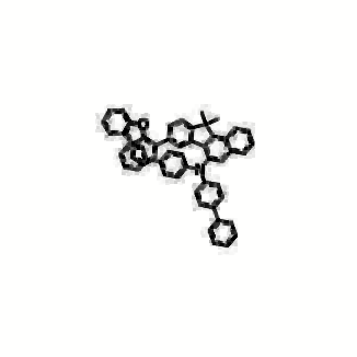 CC1(C)c2ccc(-c3cccc4c3oc3ccccc34)cc2-c2c(N(c3ccc(-c4ccccc4)cc3)c3ccc(-c4ccccc4)cc3)cc3ccccc3c21